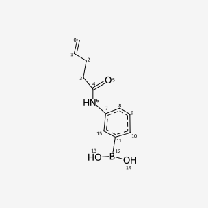 C=CCCC(=O)Nc1cccc(B(O)O)c1